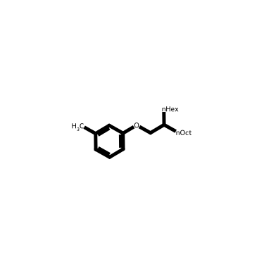 CCCCCCCCC(CCCCCC)COc1cccc(C)c1